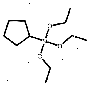 CCO[Si](OCC)(OCC)C1CCCC1